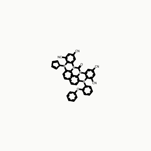 N#Cc1cc(C#N)c2c(c1)N1C(=O)N3c4cc(C#N)cc(C#N)c4B(C4C=CC=C4)c4ccc5ccc(c1c5c43)B2c1ccccc1Oc1ccccc1